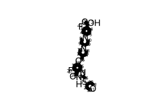 O=C(O)c1ccc(N2CCC(N3CCC(COc4cc(F)c5c(=O)[nH]c(CSC6CCOCC6)nc5c4)CC3)CC2)cc1F